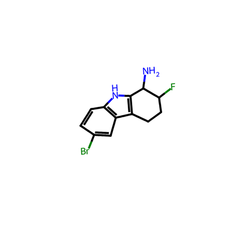 NC1c2[nH]c3ccc(Br)cc3c2CCC1F